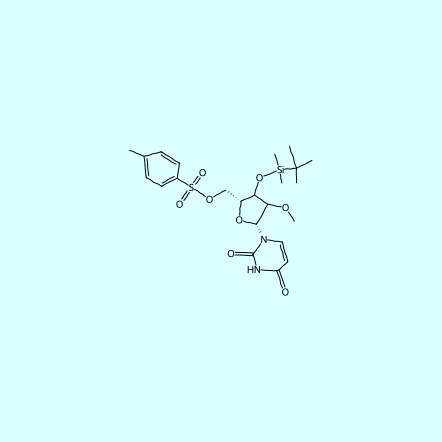 COC1C(O[Si](C)(C)C(C)(C)C)[C@@H](COS(=O)(=O)c2ccc(C)cc2)O[C@H]1n1ccc(=O)[nH]c1=O